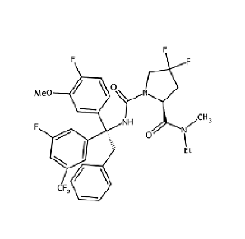 CCN(C)C(=O)[C@@H]1CC(F)(F)CN1C(=O)N[C@@](Cc1ccccc1)(c1cc(F)cc(C(F)(F)F)c1)c1ccc(F)c(OC)c1